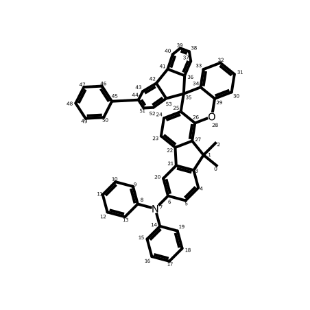 CC1(C)c2ccc(N(c3ccccc3)c3ccccc3)cc2-c2ccc3c(c21)Oc1ccccc1C31c2ccccc2-c2cc(-c3ccccc3)ccc21